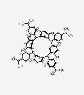 CC(C)C1=CC=C(C2c3cc(c(O)cc3O)C(c3ccc(C(C)C)cc3)C3=C(O)CC(O)C(=C3)C(C3CC=C(C(C)C)CC3)c3cc(c(O)cc3O)C(C3=CC=C(C(C)C)CC3)c3cc2c(O)cc3O)CC1